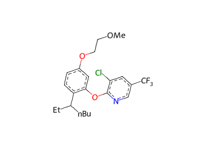 [CH2]CC(CCCC)c1ccc(OCCOC)cc1Oc1ncc(C(F)(F)F)cc1Cl